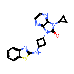 O=c1n(C2CC2)c2nccnc2n1[C@H]1C[C@H](Nc2nc3ccccc3s2)C1